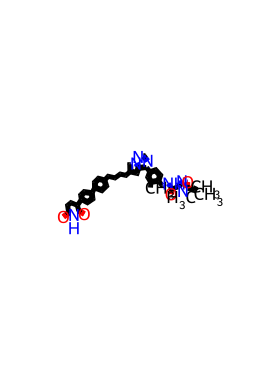 Cc1cc(-c2ncnn3cc(CCCCc4ccc(-c5ccc(C6CCC(=O)NC6=O)cc5)cc4)cc23)ccc1CNC(=O)c1noc(C(C)(C)C)n1